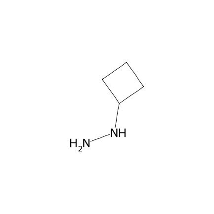 NNC1CCC1